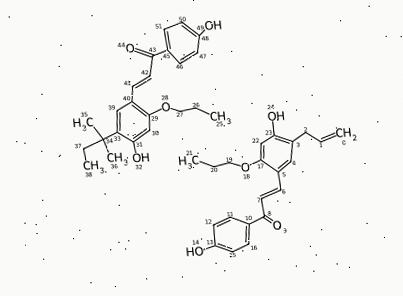 C=CCc1cc(C=CC(=O)c2ccc(O)cc2)c(OCCC)cc1O.CCCOc1cc(O)c(C(C)(C)CC)cc1C=CC(=O)c1ccc(O)cc1